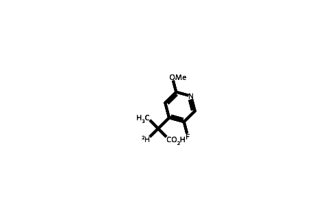 [2H]C(C)(C(=O)O)c1cc(OC)ncc1F